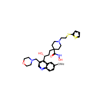 COc1ccc2ncc(CN3CCOCC3)c([C@H](O)CCC3(C(=O)NO)CCN(CCSc4cccs4)CC3)c2c1